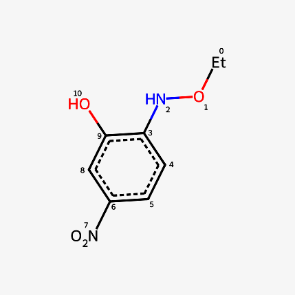 CCONc1ccc([N+](=O)[O-])cc1O